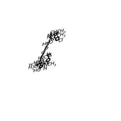 CC1=C(C)C2C(c3ccc(Cl)cc3)=N[C@@H](CC(=O)NCCOCCOCCOCC(=O)N[C@H](C(=O)N3C[C@H](O)C[C@H]3C(=O)N[C@@H](C)c3ccc(-c4scnc4C)cc3)C(C)(C)C)c3nnc(C)n3C2S1